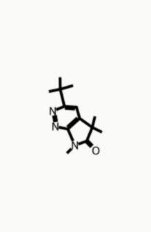 CN1C(=O)C(C)(C)c2cc(C(C)(C)C)nnc21